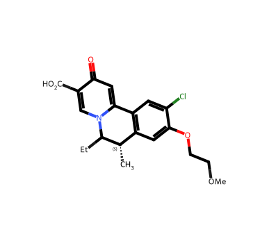 CCC1[C@@H](C)c2cc(OCCOC)c(Cl)cc2-c2cc(=O)c(C(=O)O)cn21